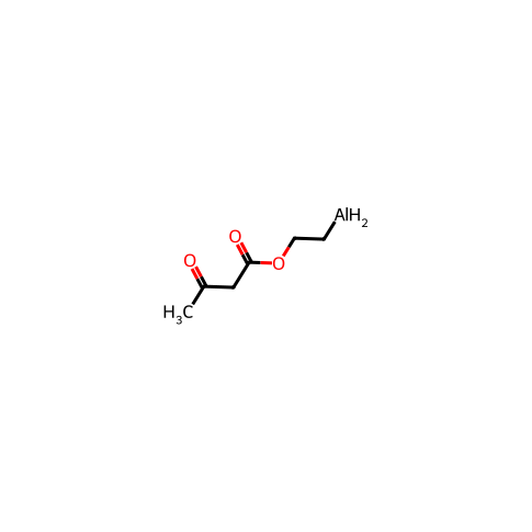 CC(=O)CC(=O)OC[CH2][AlH2]